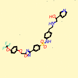 O=S(=O)(Nc1ccc(CCNCC(O)c2cccnc2)cc1)c1ccc(-c2noc(COc3ccc(OC(F)(F)F)cc3)n2)cc1